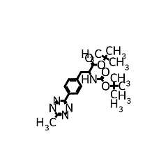 Cc1nnc(-c2ccc(CC(NC(=O)OC(C)(C)C)C(=O)OC(C)(C)C)cc2)nn1